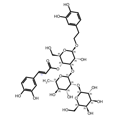 C[C@@H]1O[C@@H](O[C@@H]2[C@@H](O)[C@H](OCCc3ccc(O)c(O)c3)O[C@H](CO)[C@H]2OC(=O)/C=C/c2ccc(O)c(O)c2)[C@H](O[C@@H]2O[C@H](CO)[C@H](O)[C@H](O)[C@H]2O)[C@H](O)[C@H]1O